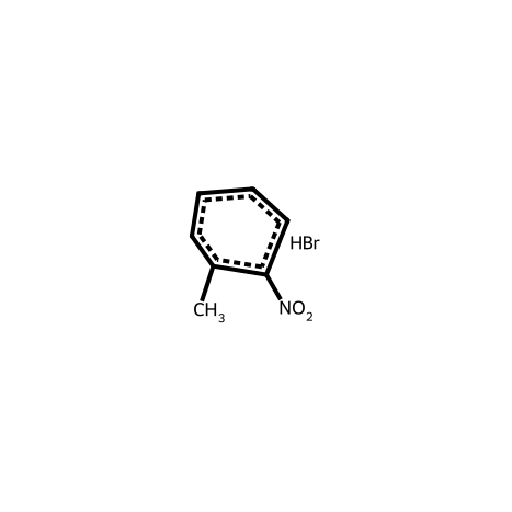 Br.Cc1ccccc1[N+](=O)[O-]